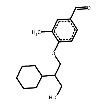 CCC(COc1ccc(C=O)cc1C)C1CCCCC1